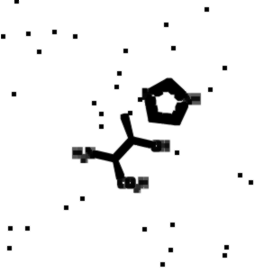 C[C@@H](O)[C@H](N)C(=O)O.c1c[nH]cn1